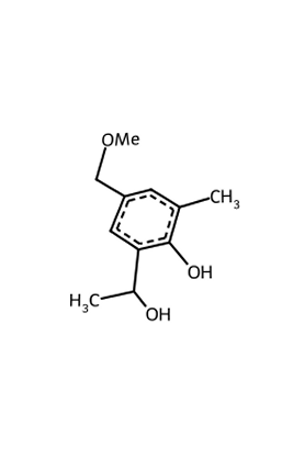 COCc1cc(C)c(O)c(C(C)O)c1